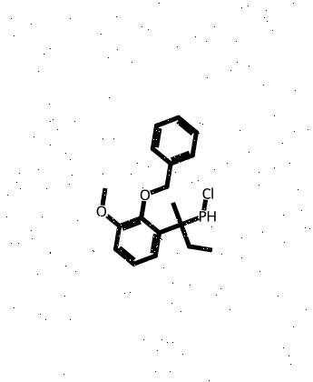 CCC(C)(PCl)c1cccc(OC)c1OCc1ccccc1